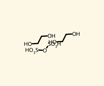 O=S(=O)(O)OS(=O)(=O)O.OCCO.OCCO